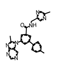 Cc1ccc(-c2cc(C(=O)NCc3cnc(C)cn3)cc(-n3c(C)nc4ncncc43)c2)cc1